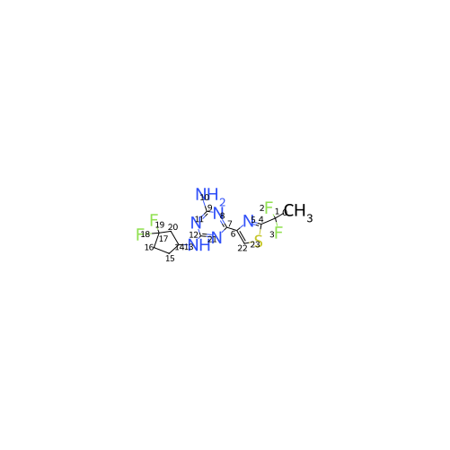 CC(F)(F)c1nc(-c2nc(N)nc(NC3CCC(F)(F)C3)n2)cs1